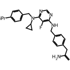 C=C(N)Cc1ccc(CNc2ncnc(N(Cc3ccc(C(C)C)cc3)C3CC3)c2F)cc1